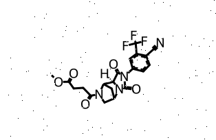 COC(=O)CCC(=O)N1CC2CC1[C@H]1C(=O)N(c3ccc(C#N)c(C(F)(F)F)c3)C(=O)N21